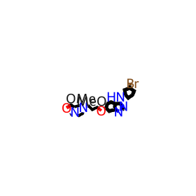 COC(=O)C1CN(CCCOc2cc3ncnc(Nc4cccc(Br)c4)c3cc2OC)CCN1C